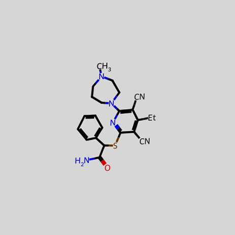 CCc1c(C#N)c(SC(C(N)=O)c2ccccc2)nc(N2CCCN(C)CC2)c1C#N